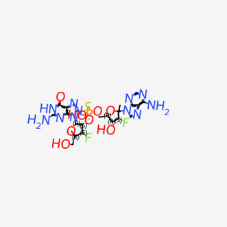 CC1(n2cnc3c(N)ncnc32)O[C@H](COP(O)(=S)O[C@@H]2[C@@H](F)[C@@H](CO)O[C@H]2n2nnc3c(=O)[nH]c(N)nc32)[C@@H](O)[C@@H]1F